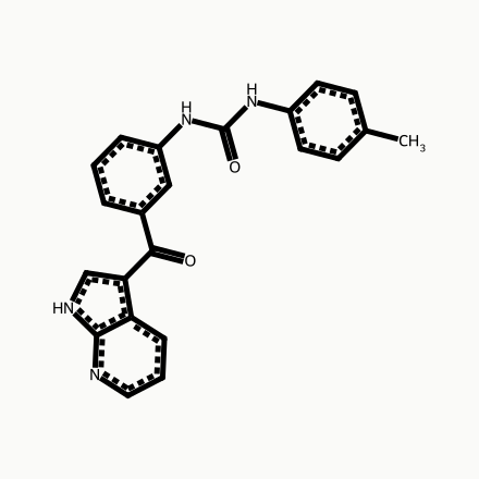 Cc1ccc(NC(=O)Nc2cccc(C(=O)c3c[nH]c4ncccc34)c2)cc1